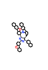 c1ccc2cc(C3=C4CC(=NC(c5ccc6oc7ccccc7c6c5)=N3)c3ccc5c(oc6cc7ccccc7cc65)c3-n3c5cc4ccc5c4cc5ccccc5cc43)ccc2c1